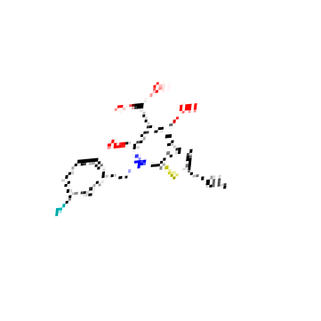 Cc1cc2c(O)c(C(=O)O)c(=O)n(Cc3cccc(F)c3)c2s1